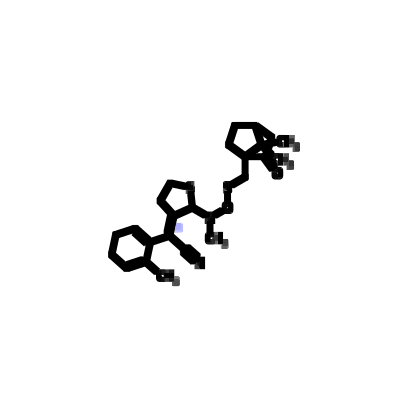 CC1=CCCC=C1/C(C#N)=C1\CCSC1N(C)OSCC12CCC(CC1=O)C2(C)C